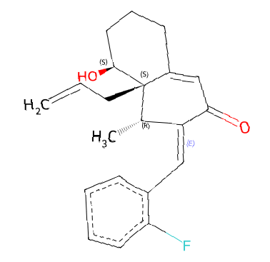 C=CC[C@@]12C(=CC(=O)/C(=C/c3ccccc3F)[C@@H]1C)CCC[C@@H]2O